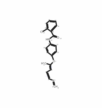 C=N/C=C\C=C(/C)Oc1ccc(NC(=O)c2ccccc2Cl)cc1